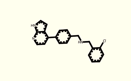 Clc1ccccc1CNCc1ccc(-c2ccnc3[nH]ccc23)cc1